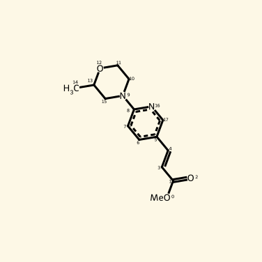 COC(=O)/C=C/c1ccc(N2CCOC(C)C2)nc1